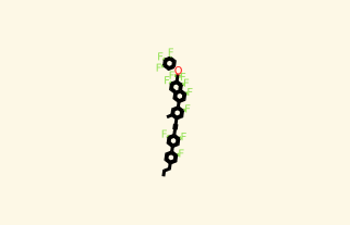 CCCc1ccc(-c2cc(F)c(C#Cc3cc(F)c(-c4cc(F)c5c(F)c(C(F)(F)Oc6cc(F)c(F)c(F)c6)c(F)cc5c4)cc3C)c(F)c2)c(F)c1